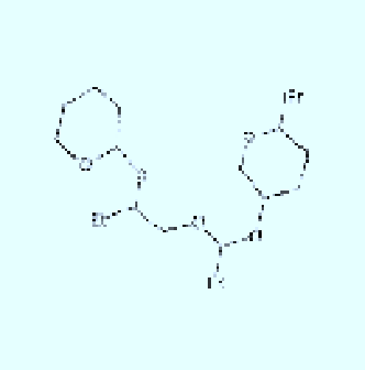 CCC(COC(CC)OC1CCC(C(C)C)OC1)OC1CCCCO1